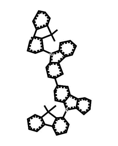 CC1(C)c2ccccc2-c2cccc(-n3c4ccccc4c4cc(-c5ccc6c(c5)c5ccccc5n6-c5cccc6c5C(C)(C)c5ccccc5-6)ccc43)c21